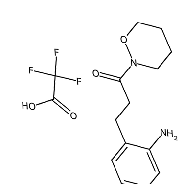 Nc1ccccc1CCC(=O)N1CCCCO1.O=C(O)C(F)(F)F